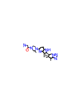 Cc1c(-c2[nH]c3ccc(N4CCN(C(=O)CN(C)C)C[C@@H]4C)nc3c2C(C)C)cn2ncnc2c1C